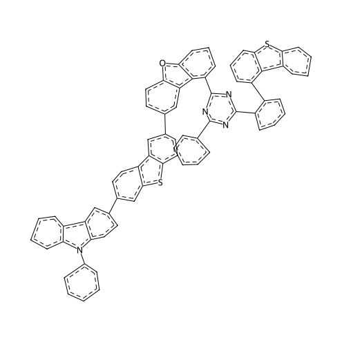 c1ccc(-c2nc(-c3ccccc3-c3cccc4sc5ccccc5c34)nc(-c3cccc4oc5ccc(-c6ccc7sc8cc(-c9ccc%10c(c9)c9ccccc9n%10-c9ccccc9)ccc8c7c6)cc5c34)n2)cc1